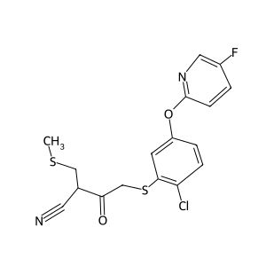 CSCC(C#N)C(=O)CSc1cc(Oc2ccc(F)cn2)ccc1Cl